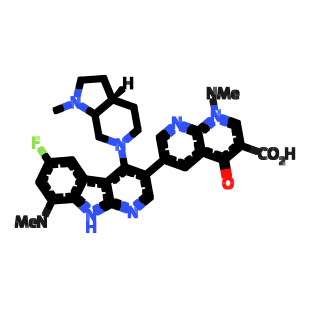 CNc1cc(F)cc2c1[nH]c1ncc(-c3cnc4c(c3)c(=O)c(C(=O)O)cn4NC)c(N3CC[C@H]4CCN(C)C4C3)c12